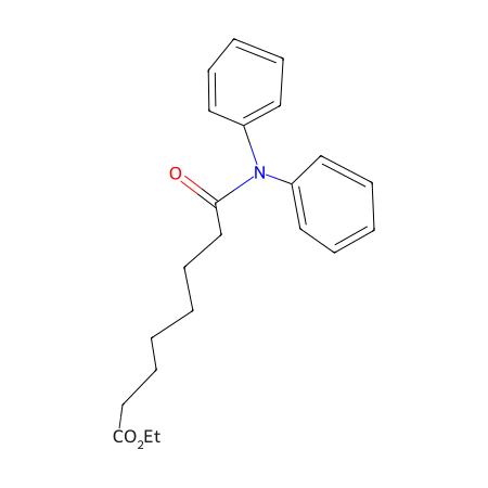 CCOC(=O)CCCCCCC(=O)N(c1ccccc1)c1ccccc1